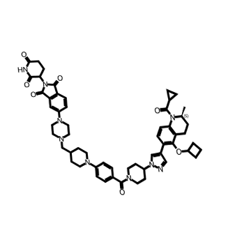 C[C@H]1CCc2c(ccc(-c3cnn(C4CCN(C(=O)c5ccc(N6CCC(CN7CCN(c8ccc9c(c8)C(=O)N(C8CCC(=O)NC8=O)C9=O)CC7)CC6)cc5)CC4)c3)c2OC2CCC2)N1C(=O)C1CC1